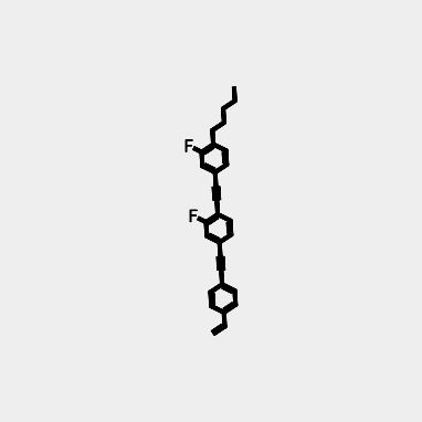 C=Cc1ccc(C#Cc2ccc(C#Cc3ccc(CCCCC)c(F)c3)c(F)c2)cc1